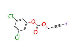 O=C(OCC#CI)Oc1cc(Cl)cc(Cl)c1